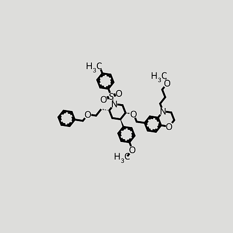 COCCCN1CCOc2ccc(CO[C@H]3CN(S(=O)(=O)c4ccc(C)cc4)[C@@H](CCOCc4ccccc4)C[C@@H]3c3ccc(OC)cc3)cc21